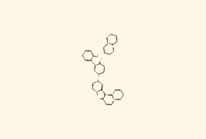 c1ccc2cc(-n3c4ccccc4c4cc(-c5ccc6sc7ccc8ccccc8c7c6c5)ccc43)ccc2c1